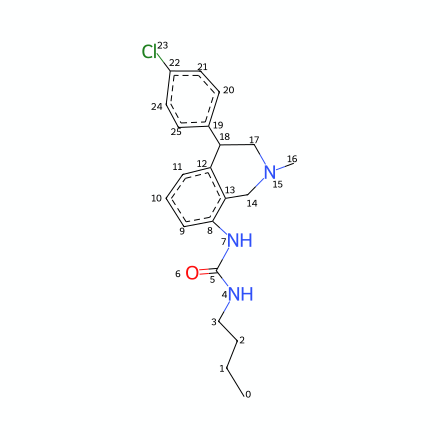 CCCCNC(=O)Nc1cccc2c1CN(C)CC2c1ccc(Cl)cc1